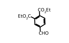 CCOC(=O)c1ccc(C=O)cc1C(=O)OCC